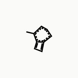 Cc1cccc2c1=CC=2